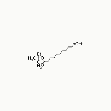 CCCCCCCCC=CCCCCCCCC(=O)OC(C)(C)CC